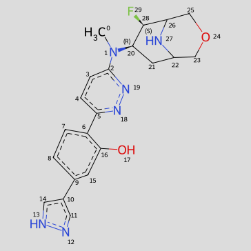 CN(c1ccc(-c2ccc(-c3cn[nH]c3)cc2O)nn1)[C@@H]1CC2COCC(N2)[C@@H]1F